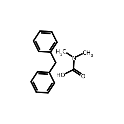 CN(C)C(=O)O.c1ccc(Cc2ccccc2)cc1